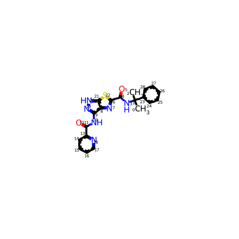 CC(C)(NC(=O)c1nc2c(NC(=O)c3ccccn3)n[nH]c2s1)c1ccccc1